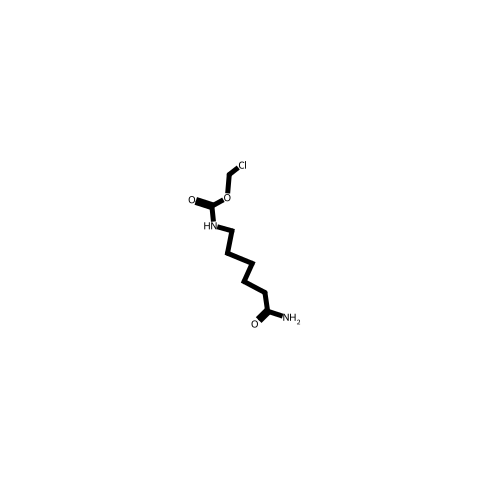 NC(=O)CCCCCNC(=O)OCCl